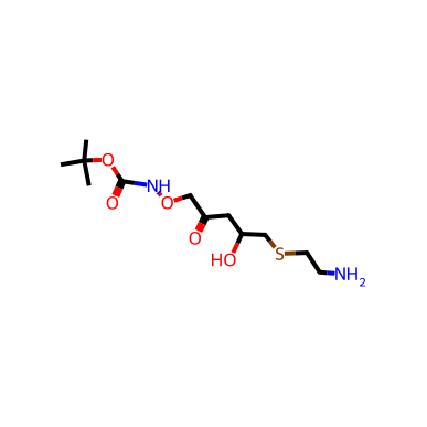 CC(C)(C)OC(=O)NOCC(=O)CC(O)CSCCN